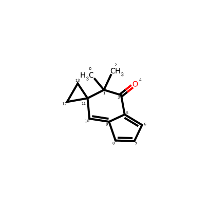 CC1(C)C(=O)C2=CC=CC2=CC12CC2